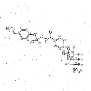 C=Cc1ccc(OS(=O)(=O)COC(=O)c2ccc(OS(=O)(=O)C(F)(F)C(F)(F)C(F)(F)S(=O)(=O)O)cc2)cc1